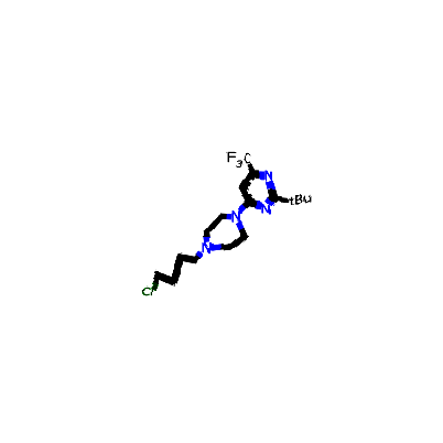 CC(C)(C)c1nc(N2CCN(CC=CCCl)CC2)cc(C(F)(F)F)n1